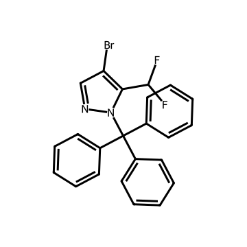 FC(F)c1c(Br)cnn1C(c1ccccc1)(c1ccccc1)c1ccccc1